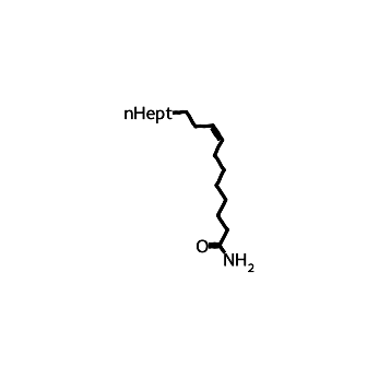 CCCCCCCCC/C=C\CCCCCCC(N)=O